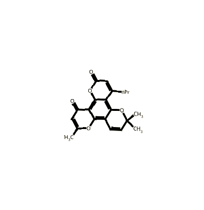 CCCc1[c]c(=O)oc2c1c1c(c3oc(C)cc(=O)c32)C=CC(C)(C)O1